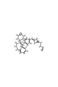 FCCCN1CC(=Cc2ccc(C3=C(C4CCOCC4)CCCc4ccccc43)cc2)C1